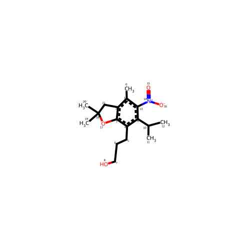 Cc1c2c(c(CCCO)c(C(C)C)c1[N+](=O)[O-])OC(C)(C)C2